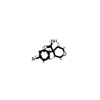 NC(=O)C1(c2ccc(Br)cc2)CCOCC1